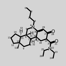 CCCCN1C[C@@H]2[C@@H](CC[C@]3(C)CCC[C@@H]23)[C@@]2(C)CC(C(=O)N(CC)CC)C(=O)C=C12